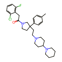 Cc1ccc(C2(CCN3CCC(N4CCCCC4)CC3)CCN(C(=O)Cc3c(F)cccc3Cl)C2)cc1